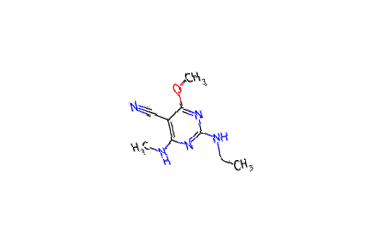 CCNc1nc(NC)c(C#N)c(OC)n1